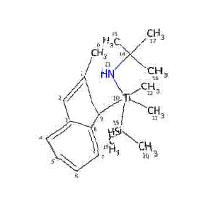 CC1=Cc2ccccc2[CH]1[Ti]([CH3])([CH3])([NH]C(C)(C)C)[SiH](C)C